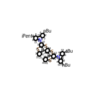 CCCCc1ccc2c(c1)c1cc(C(C)CCC)ccc1n2-c1cc2c3c(c1)Sc1cc4c(cc1B3c1ccccc1S2)B1c2ccccc2Sc2cc(-n3c5ccc(CCCC)cc5c5cc(C(C)(C)C)ccc53)cc(c21)S4